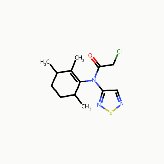 CC1=C(N(C(=O)CCl)c2cnsn2)C(C)CCC1C